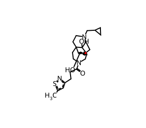 Cc1cc(CCC(=O)N2CCC34CCN(CC5CC5)C(Cc5ccc(O)cc53)C4(O)CC2)ns1